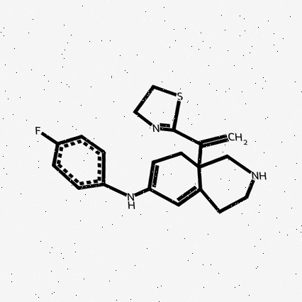 C=C(C1=NCCS1)C12CC=C(Nc3ccc(F)cc3)C=C1CCNC2